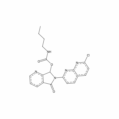 CCCCNC(=O)OC1c2ncccc2C(=O)N1c1ccc2ccc(Cl)nc2n1